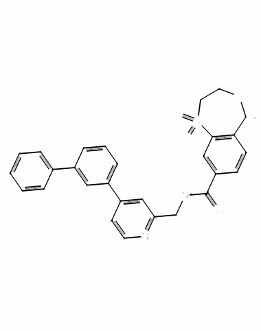 O=C(NCc1cc(-c2cccc(-c3ccccc3)c2)ccn1)c1ccc2c(c1)S(=O)(=O)CCOC2